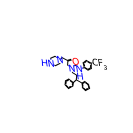 C=C(CN1CCNCC1)CN(CCC(c1ccccc1)c1ccccc1)C(=O)Nc1ccc(C(F)(F)F)cc1